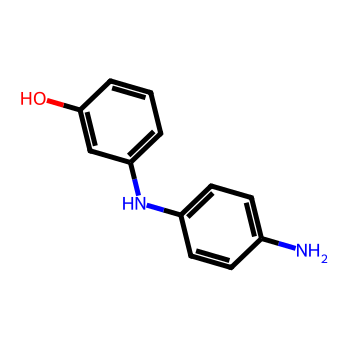 Nc1ccc(Nc2cccc(O)c2)cc1